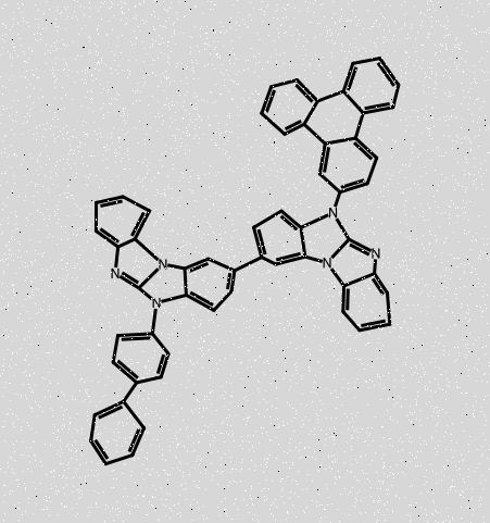 c1ccc(-c2ccc(-n3c4ccc(-c5ccc6c(c5)n5c7ccccc7nc5n6-c5ccc6c7ccccc7c7ccccc7c6c5)cc4n4c5ccccc5nc34)cc2)cc1